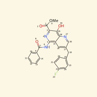 COC(=O)c1nc(NC(=O)c2ccccc2)c2cc(Cc3ccc(F)cc3)cnc2c1O